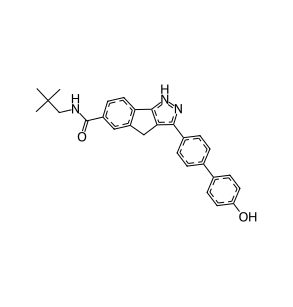 CC(C)(C)CNC(=O)c1ccc2c(c1)Cc1c(-c3ccc(-c4ccc(O)cc4)cc3)n[nH]c1-2